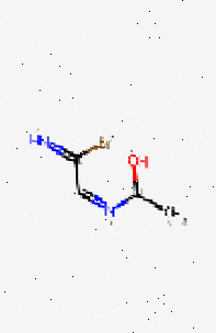 CC(O)/N=C\C(=N)Br